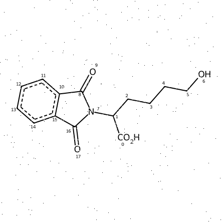 O=C(O)C(CCCCO)N1C(=O)c2ccccc2C1=O